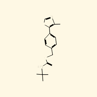 Cc1ncsc1-c1ccc(COC(=O)NC(C)(C)C)cc1